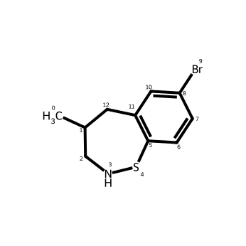 CC1CNSc2ccc(Br)cc2C1